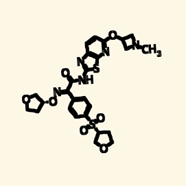 CN1CC(Oc2ccc3nc(NC(=O)/C(=N/O[C@@H]4CCOC4)c4ccc(S(=O)(=O)[C@H]5CCOC5)cc4)sc3n2)C1